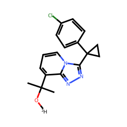 [2H]OC(C)(C)c1cccn2c(C3(c4ccc(Cl)cc4)CC3)nnc12